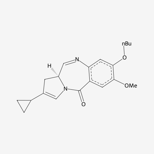 CCCCOc1cc2c(cc1OC)C(=O)N1C=C(C3CC3)C[C@H]1C=N2